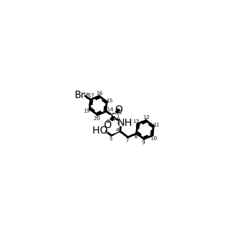 O=S(=O)(N[C@H](CO)Cc1ccccc1)c1ccc(Br)cc1